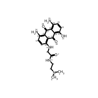 CN(C)CCNC(=O)CNc1ccc(N)c2c1C(=O)c1c(O)ccc(N)c1C2=O